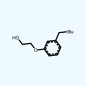 CC(C)(C)Cc1cccc(OCCO)c1